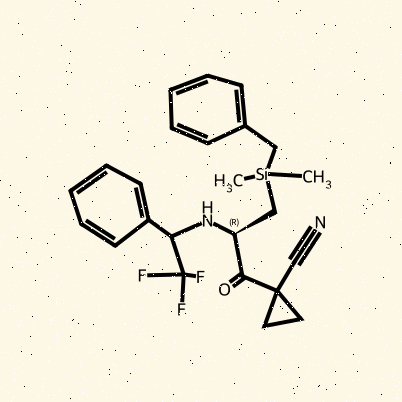 C[Si](C)(Cc1ccccc1)C[C@H](NC(c1ccccc1)C(F)(F)F)C(=O)C1(C#N)CC1